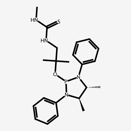 CNC(=S)NCC(C)(C)OP1N(c2ccccc2)[C@H](C)[C@@H](C)N1c1ccccc1